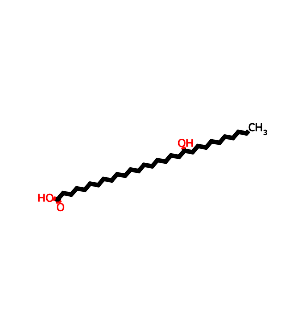 CCCCCCCCCCC(O)CCCCCCCCCCCCCCCCCCC(=O)O